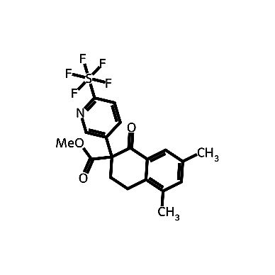 COC(=O)C1(c2ccc(S(F)(F)(F)(F)F)nc2)CCc2c(C)cc(C)cc2C1=O